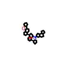 c1ccc(-c2ccccc2N(c2ccc(-c3cccc4c3ccc3c5ccccc5oc43)cc2)c2ccc3c(ccc4ccccc43)c2)cc1